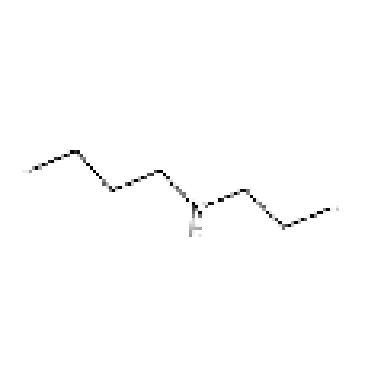 [CH2]CCCNCC[CH2]